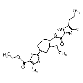 CCCc1[nH]c(C(=O)N[C@@H]2CCN(c3nc(C)c(C(=O)OCC)s3)C[C@@H]2OC)nc1Cl